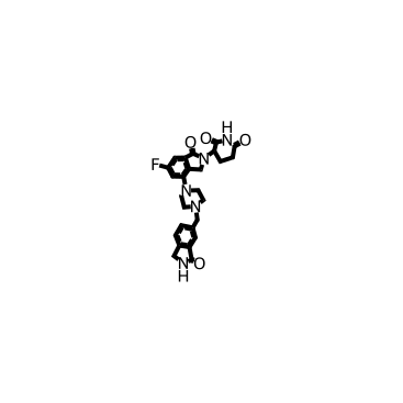 O=C1CCC(N2Cc3c(cc(F)cc3N3CCN(Cc4ccc5c(c4)C(=O)NC5)CC3)C2=O)C(=O)N1